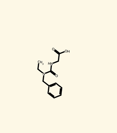 CCN(Cc1ccccc1)C(=O)NCC(=O)O